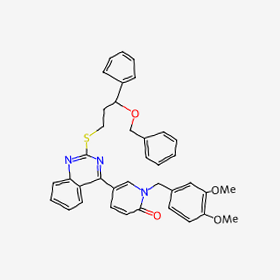 COc1ccc(Cn2cc(-c3nc(SCCC(OCc4ccccc4)c4ccccc4)nc4ccccc34)ccc2=O)cc1OC